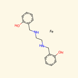 Oc1ccccc1CNCCNCc1ccccc1O.[Fe]